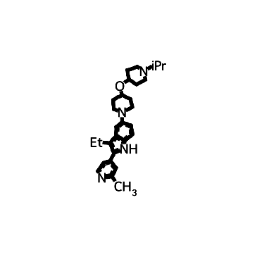 CCc1c(-c2ccnc(C)c2)[nH]c2ccc(N3CCC(OC4CCN(C(C)C)CC4)CC3)cc12